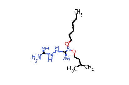 CCCCCCON(OCCC(C)C)C(=N)NNC(=N)N